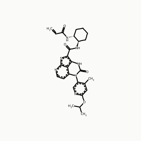 C=CC(=O)N[C@@H]1CCCC[C@H]1NC(=O)c1sc2nccc3c2c1NC(=O)N3c1cnc(OC(C)C)cc1C